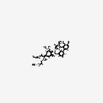 COCCNC(COC)c1cc(C)c2oc(-c3cccc(-c4ccc(F)cc4-c4nncn4C)c3)nc2c1